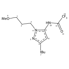 COCCCn1nc(C(C)(C)C)cc1NC(=O)C(F)(F)F